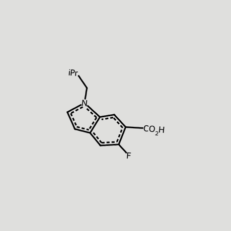 CC(C)Cn1ccc2cc(F)c(C(=O)O)cc21